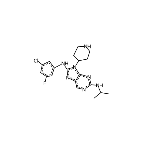 CC(C)Nc1ncc2nc(Nc3cc(F)cc(Cl)c3)n(C3CCNCC3)c2n1